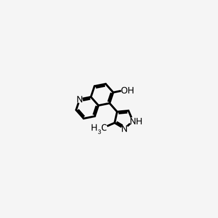 Cc1n[nH]cc1-c1c(O)ccc2ncccc12